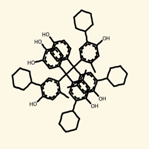 Cc1cc(O)c(C2CCCCC2)cc1C(c1ccc(O)cc1)(c1cc(C2CCCCC2)c(O)cc1C)C(c1ccc(O)c(O)c1)(c1cc(C2CCCCC2)c(O)cc1C)c1cc(C2CCCCC2)c(O)cc1C